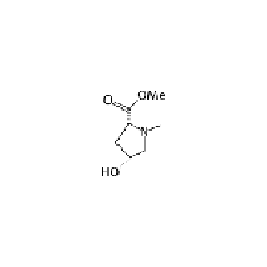 COC(=O)[C@H]1C[C@@H](O)CN1C